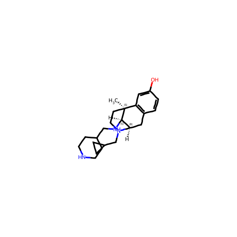 C[C@]12CCN(CC3CC3)[C@H](Cc3ccc(O)cc31)[C@H]2NCC1CCNCC1